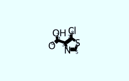 O=C(O)c1ncsc1Cl